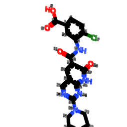 O=C(O)c1ccc(Cl)c(NC(=O)c2cc3cnc(N4CCCCC4)nc3[nH]c2=O)c1